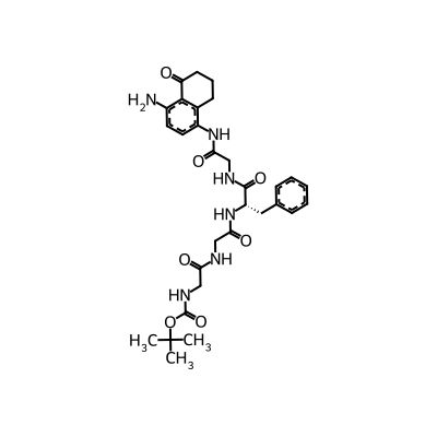 CC(C)(C)OC(=O)NCC(=O)NCC(=O)N[C@@H](Cc1ccccc1)C(=O)NCC(=O)Nc1ccc(N)c2c1CCCC2=O